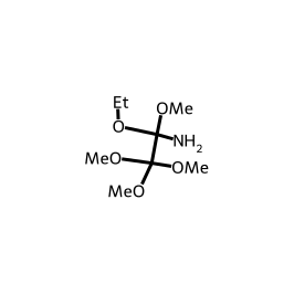 CCOC(N)(OC)C(OC)(OC)OC